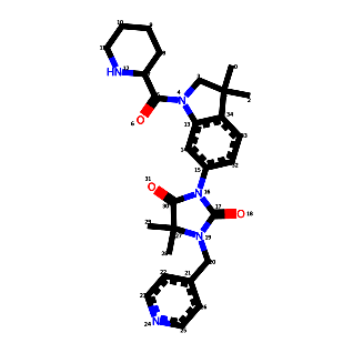 CC1(C)CN(C(=O)C2CCCCN2)c2cc(N3C(=O)N(Cc4ccncc4)C(C)(C)C3=O)ccc21